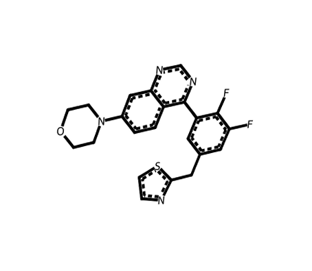 Fc1cc(Cc2nccs2)cc(-c2ncnc3cc(N4CCOCC4)ccc23)c1F